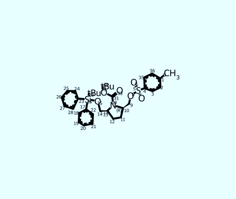 Cc1ccc(S(=O)(=O)OC[C@H]2CC[C@@H](CO[Si](c3ccccc3)(c3ccccc3)C(C)(C)C)N2C(=O)OC(C)(C)C)cc1